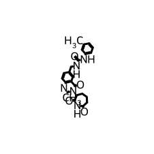 Cc1cccc(NC(=O)NCc2ccc3nc(C)n(C4CCCC(=O)NC4=O)c(=O)c3c2)c1